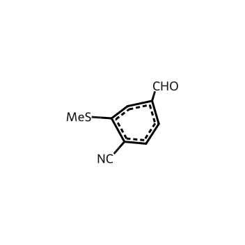 CSc1cc(C=O)ccc1C#N